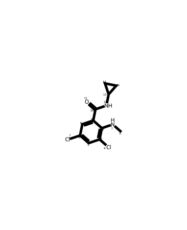 CNc1c(Cl)cc(Cl)cc1C(=O)NC1CC1